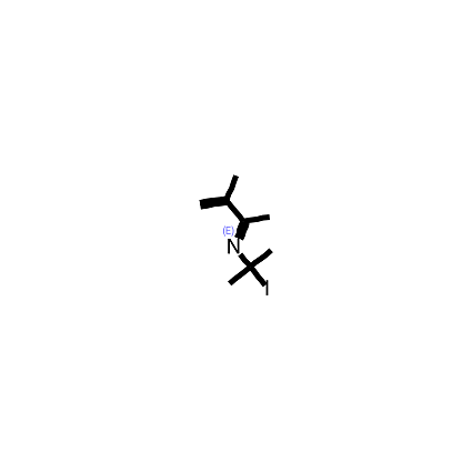 C=C(C)/C(C)=N/C(C)(C)I